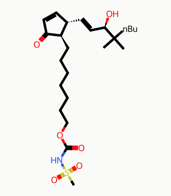 CCCCC(C)(C)[C@H](O)/C=C/[C@H]1C=CC(=O)[C@@H]1CCCCCCCOC(=O)NS(C)(=O)=O